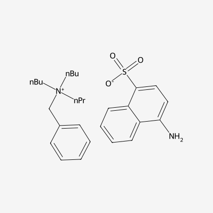 CCCC[N+](CCC)(CCCC)Cc1ccccc1.Nc1ccc(S(=O)(=O)[O-])c2ccccc12